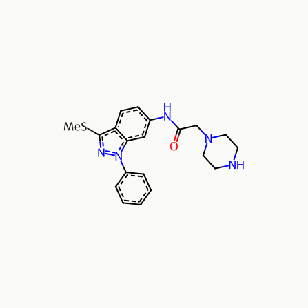 CSc1nn(-c2ccccc2)c2cc(NC(=O)CN3CCNCC3)ccc12